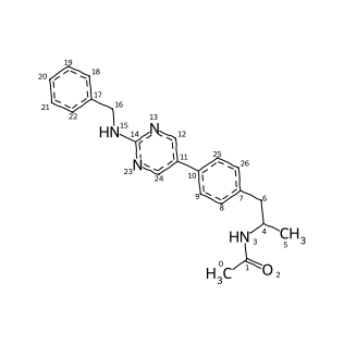 CC(=O)NC(C)Cc1ccc(-c2cnc(NCc3ccccc3)nc2)cc1